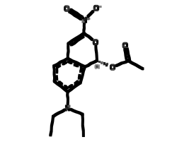 CCN(CC)c1ccc2c(c1)[C@@H](OC(C)=O)OC([N+](=O)[O-])=C2